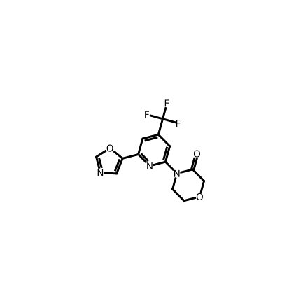 O=C1COCCN1c1cc(C(F)(F)F)cc(-c2cnco2)n1